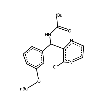 CCCCOc1cccc(C(NC(=O)C(C)(C)C)c2nccnc2Cl)c1